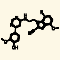 COc1cc(-c2cc(NCCn3c(C#N)cc4c(OC)ccc(F)c43)ncn2)ccc1O